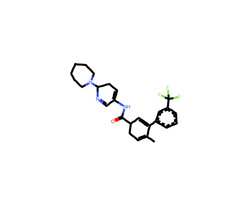 CC1=CCC(C(=O)NC2=CCC(N3CCCCCC3)N=C2)C=C1c1cccc(C(F)(F)F)c1